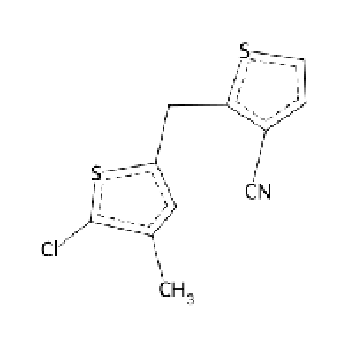 Cc1cc(Cc2sccc2C#N)sc1Cl